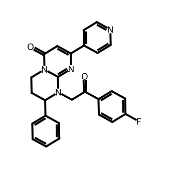 O=C(CN1c2nc(-c3ccncc3)cc(=O)n2CCC1c1ccccc1)c1ccc(F)cc1